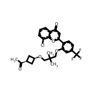 CC(=O)[C@H]1C[C@@H](OCC(C)(C)COc2cc(C(F)(F)F)ccc2-c2cc(=O)c3cccc(Cl)c3o2)C1